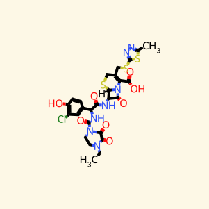 CCN1CCN(C(=O)NC(C(=O)NC2C(=O)N3C(C(=O)O)=C(CSc4nnc(C)s4)CS[C@@H]23)c2ccc(O)c(Cl)c2)C(=O)C1=O